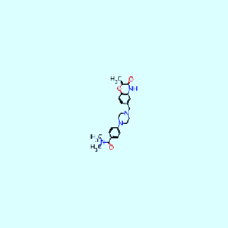 CC1Oc2ccc(CN3CCN(c4ccc(C(=O)N(C)C)cc4)CC3)cc2NC1=O